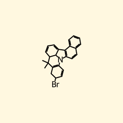 CC1(C)C2=C(C=CC(Br)C2)N2c3ccc4ccccc4c3C3=CC=CC1C32